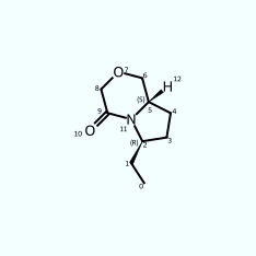 CC[C@@H]1CC[C@H]2COCC(=O)N12